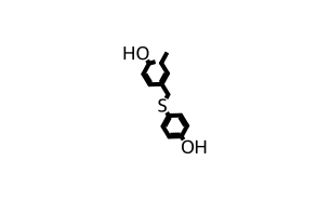 CC/C=C(\C=C/C(C)O)CSc1ccc(O)cc1